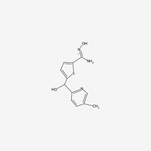 Cc1ccc(C(O)c2ccc(/C(N)=N/O)s2)nc1